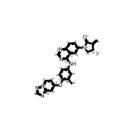 C=C1C(=O)N(c2ccc3ncnc(Nc4ccc(Oc5ccn6ncnc6c5)c(C)c4)c3c2)C[C@H]1C